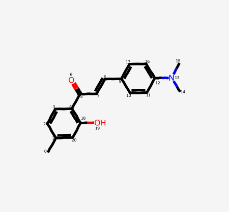 Cc1ccc(C(=O)C=Cc2ccc(N(C)C)cc2)c(O)c1